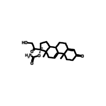 CC12CCC(=O)C=C1CCC1C2=CCC2(C)C1CC[C@]2(OC(=O)P)C(=O)CO